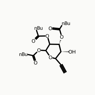 C#CC1OC(OC(=O)CCCC)C(OC(=O)CCCC)[C@H](OC(=O)CCCC)[C@@H]1O